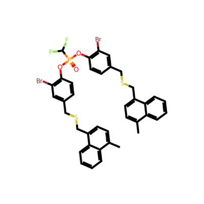 Cc1ccc(CSCc2ccc(OP(=O)(Oc3ccc(CSCc4ccc(C)c5ccccc45)cc3Br)C(F)F)c(Br)c2)c2ccccc12